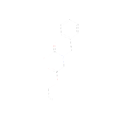 CCOC(=O)CN(Cc1ccccc1)C(=O)O